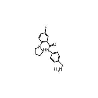 NCc1ccc(NC(=O)c2cc(F)ccc2N2CCCC2)cc1